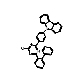 Clc1nc(-c2ccc(-n3c4ccccc4c4ccccc43)cc2)nc(-c2ccccc2-c2ccccc2)n1